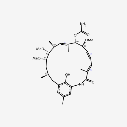 CO[C@H]1[C@@H](OC)C[C@H](C)Cc2cc(C)cc(c2O)NC(=O)/C(C)=C/C=C\[C@H](OC)[C@@H](OC(N)=O)/C(C)=C/[C@@H]1C